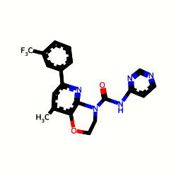 Cc1cc(-c2cccc(C(F)(F)F)c2)nc2c1OCCN2C(=O)Nc1ccncn1